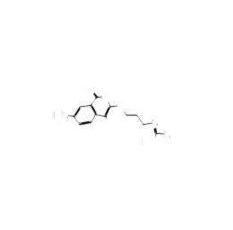 NC(S)=NCCCOc1oc(=O)c2cc(N)ccc2c1Cl